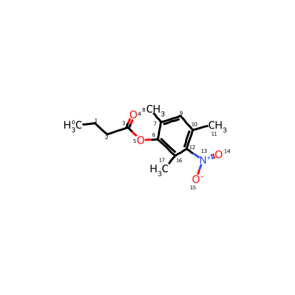 CCCC(=O)Oc1c(C)cc(C)c([N+](=O)[O-])c1C